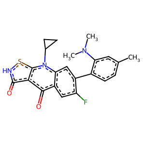 Cc1ccc(-c2cc3c(cc2F)c(=O)c2c(=O)[nH]sc2n3C2CC2)c(N(C)C)c1